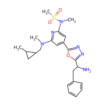 CC1CC1CN(C)c1cc(-c2nnc(C(N)Cc3ccccc3)o2)cc(N(C)S(C)(=O)=O)n1